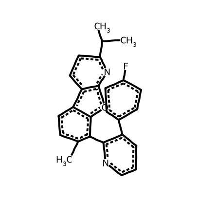 Cc1ccc2c(oc3nc(C(C)C)ccc32)c1-c1ncccc1-c1ccc(F)cc1